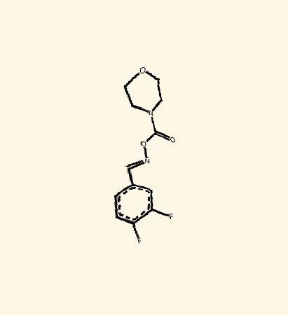 O=C(ON=Cc1ccc(F)c(F)c1)N1CCOCC1